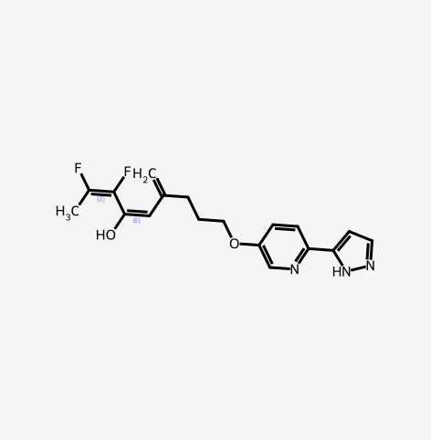 C=C(/C=C(O)\C(F)=C(/C)F)CCCOc1ccc(-c2ccn[nH]2)nc1